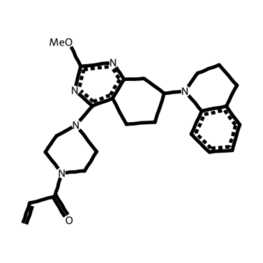 C=CC(=O)N1CCN(c2nc(OC)nc3c2CCC(N2CCCc4ccccc42)C3)CC1